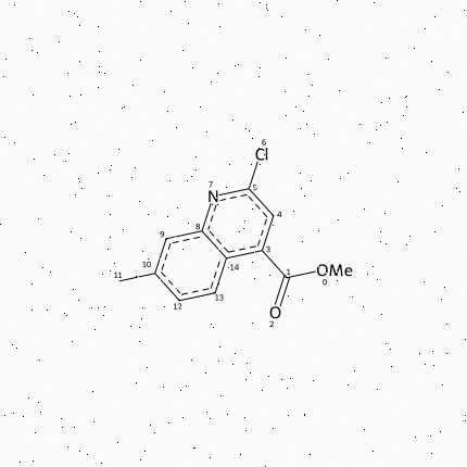 COC(=O)c1cc(Cl)nc2cc(C)ccc12